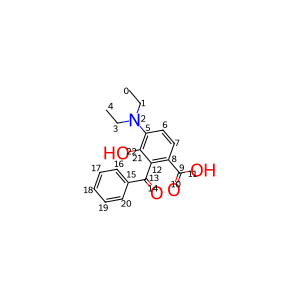 CCN(CC)c1ccc(C(=O)O)c(C(=O)c2ccccc2)c1O